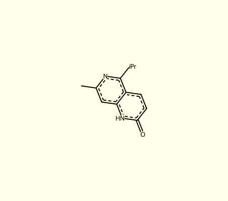 Cc1cc2[nH]c(=O)ccc2c(C(C)C)n1